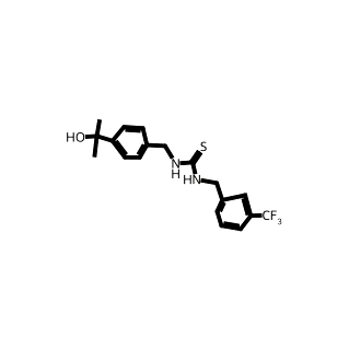 CC(C)(O)c1ccc(CNC(=S)NCc2cccc(C(F)(F)F)c2)cc1